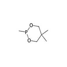 CP1OCC(C)(C)CO1